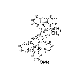 COc1ccc2c(c1)B1c3ccccc3-n3c4cc5c(cc4c4cc6c7ccccc7n-2c6c1c43)N(c1ccccc1)c1ccccc1C5(C)C